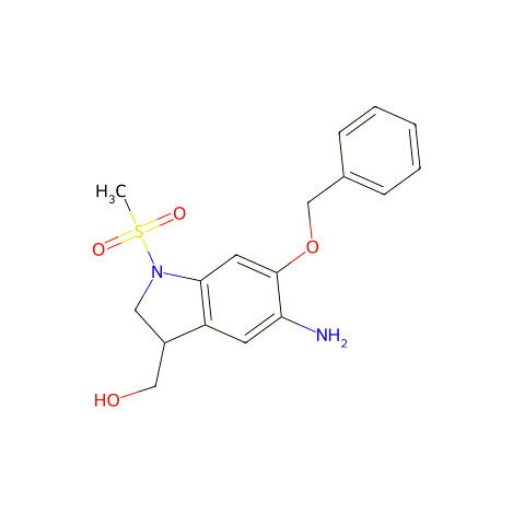 CS(=O)(=O)N1CC(CO)c2cc(N)c(OCc3ccccc3)cc21